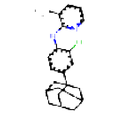 O=C(O)c1cccnc1Nc1ccc(C23CC4CC(CC(C4)C2)C3)cc1Cl